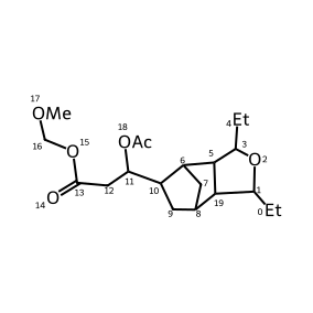 CCC1OC(CC)C2C3CC(CC3C(CC(=O)OCOC)OC(C)=O)C12